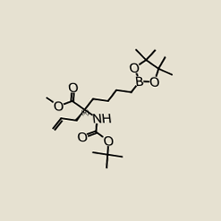 C=CC[C@@](CCCCB1OC(C)(C)C(C)(C)O1)(NC(=O)OC(C)(C)C)C(=O)OC